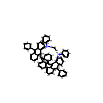 c1ccc(-c2c3ccccc3c3c4c(cccc24)N(c2ccccc2)CCCN(c2ccccc2)c2cccc4c(-c5ccccc5)c5ccccc5c(c24)-c2c4ccccc4c-3c3ccccc23)cc1